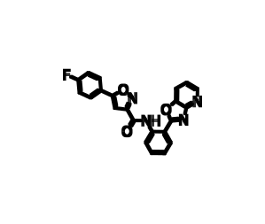 O=C(Nc1ccccc1-c1nc2ncccc2o1)c1cc(-c2ccc(F)cc2)on1